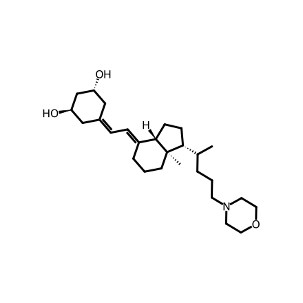 CC(CCCN1CCOCC1)[C@H]1CC[C@H]2C(=CC=C3C[C@@H](O)C[C@H](O)C3)CCC[C@]12C